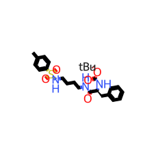 Cc1ccc(S(=O)(=O)NCCCCNC(=O)[C@H](Cc2ccccc2)NC(=O)OC(C)(C)C)cc1